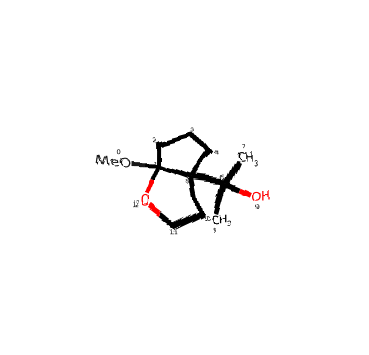 COC12CCCC1(C(C)(C)O)CCO2